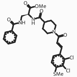 COC(=O)[C@H](CNC(=O)c1ccccc1)NC(=O)C1CCN(C(=O)/C=C/c2ccc(SC)c(Cl)c2Cl)CC1